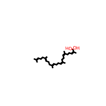 CC(C)=CCCC(C)=CCCC(C)=CCCC=C(C)CCC=C(C)CCC=C(C)C(O)O